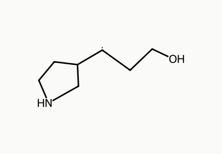 OCC[CH]C1CCNC1